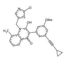 COc1cc(C#CC2CC2)cc(-c2c(O)[n+](Cc3cnc(Cl)s3)c3c(C)cccn3c2=O)c1